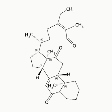 CCC(CC[C@@H](C)[C@H]1CC[C@H]2C3=CC(=O)C4CCCC[C@]4(C)[C@H]3CC(=O)[C@]12C)=C(C)C=O